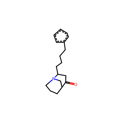 O=C1CC(CCCCc2ccccc2)N2CCCC1C2